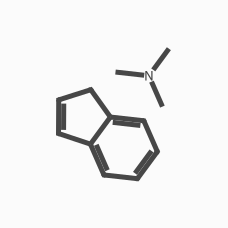 C1=Cc2ccccc2C1.CN(C)C